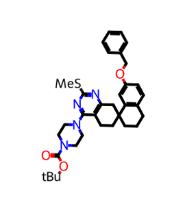 CSc1nc2c(c(N3CCN(C(=O)OC(C)(C)C)CC3)n1)CCC1(CCCc3ccc(OCc4ccccc4)cc31)C2